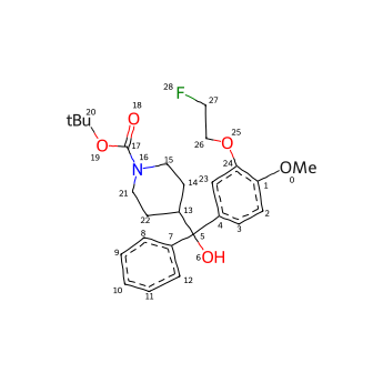 COc1ccc(C(O)(c2ccccc2)C2CCN(C(=O)OC(C)(C)C)CC2)cc1OCCF